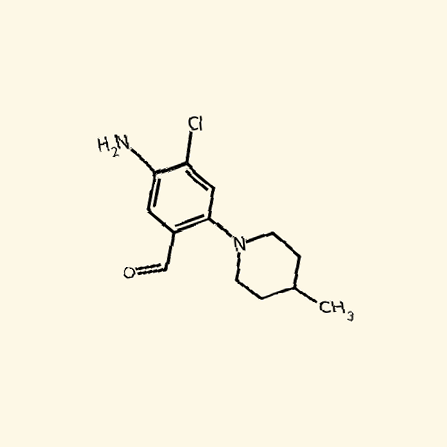 CC1CCN(c2cc(Cl)c(N)cc2C=O)CC1